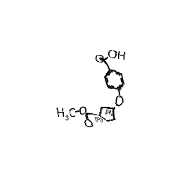 COC(=O)[C@@H]1CC[C@@H](Oc2ccc(C(=O)O)cc2)C1